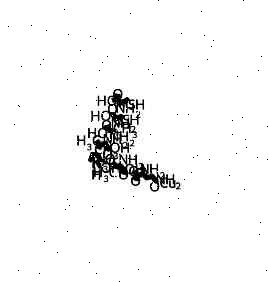 CC(C)[C@H](N)C(=O)O.CC(C)[C@H](N)C(=O)O.C[C@H](N)C(=O)O.NC(=O)CC[C@H](N)C(=O)O.N[C@@H](CS)C(=O)O.N[C@@H](CS)C(=O)O.O=C(O)[C@@H]1CCCN1.[Cu]